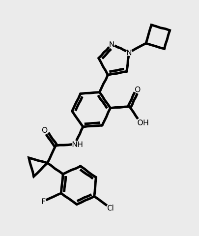 O=C(O)c1cc(NC(=O)C2(c3ccc(Cl)cc3F)CC2)ccc1-c1cnn(C2CCC2)c1